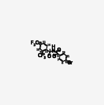 O=C(NS(=O)(=O)c1ccc(Br)cc1)c1ccc(C(F)(F)F)cc1C(F)(F)F